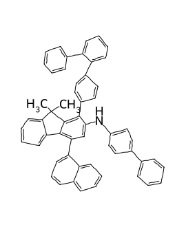 CC1(C)c2ccccc2-c2c(-c3cccc4ccccc34)cc(Nc3ccc(-c4ccccc4)cc3)c(-c3ccc(-c4ccccc4-c4ccccc4)cc3)c21